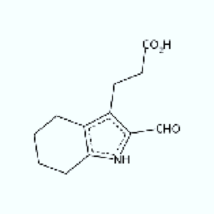 O=Cc1[nH]c2c(c1CCC(=O)O)CCCC2